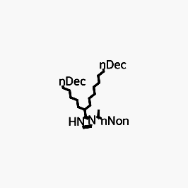 CCCCCCCCCCCCCCCCCC(CCCCCCCCCCCCCCC)c1[nH]cc[n+]1C(C)CCCCCCCCC